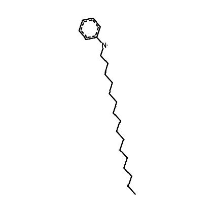 CCCCCCCCCCCCCCCC[N]c1ccccc1